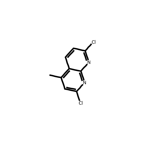 Cc1cc(Cl)nc2nc(Cl)ccc12